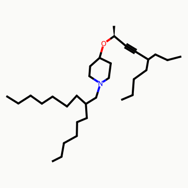 CCCCCCCC(CCCCCC)CN1CCC(O[C@@H](C)C#CC(CCC)CCCC)CC1